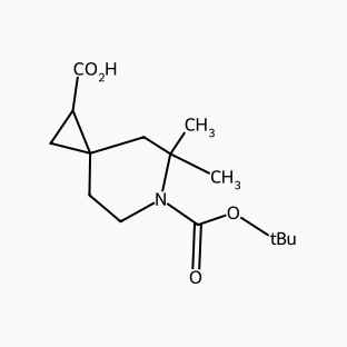 CC(C)(C)OC(=O)N1CCC2(CC2C(=O)O)CC1(C)C